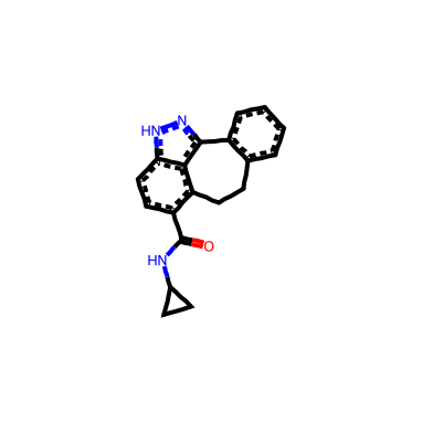 O=C(NC1CC1)c1ccc2[nH]nc3c2c1CCc1ccccc1-3